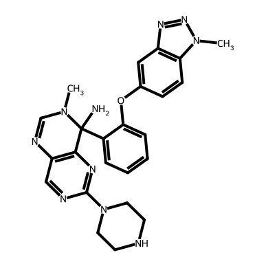 CN1C=Nc2cnc(N3CCNCC3)nc2C1(N)c1ccccc1Oc1ccc2c(c1)nnn2C